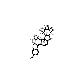 [2H]C12Nc3cc(Cl)ccc3C1=C1C=CC3NC4C([2H])([2H])C([2H])(Cl)C([2H])([2H])C([2H])([2H])C4([2H])C3([2H])C1([2H])C([2H])([2H])C2([2H])[2H]